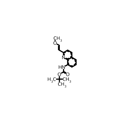 COC=Cc1ccc2cccc(NC(=O)OC(C)(C)C)c2n1